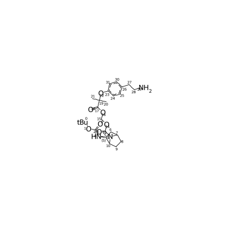 CC(C)(C)OC(=O)N[C@H]1CC2CCC1N2C(=O)OCOC(=O)C(C)(C)Oc1ccc(CCN)cc1